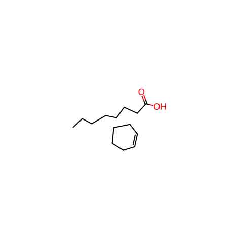 C1=CCCCC1.CCCCCCCC(=O)O